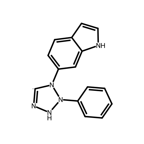 [C]1=NNN(c2ccccc2)N1c1ccc2cc[nH]c2c1